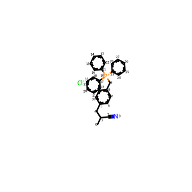 CC(C#N)Cc1ccc(C[P+](c2ccccc2)(c2ccccc2)c2ccccc2)cc1.[Cl-]